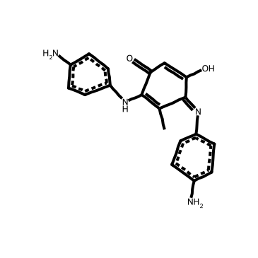 CC1=C(Nc2ccc(N)cc2)C(=O)C=C(O)/C1=N/c1ccc(N)cc1